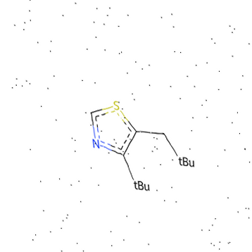 CC(C)(C)Cc1scnc1C(C)(C)C